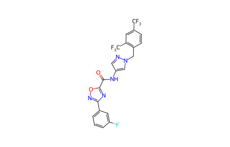 O=C(Nc1cnn(Cc2ccc(C(F)(F)F)cc2C(F)(F)F)c1)c1nc(-c2cccc(F)c2)no1